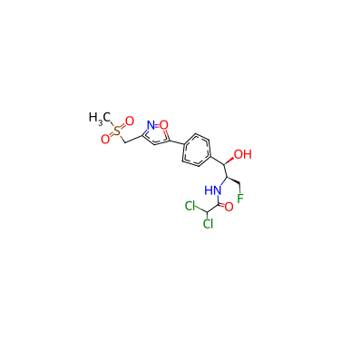 CS(=O)(=O)Cc1cc(-c2ccc([C@@H](O)[C@@H](CF)NC(=O)C(Cl)Cl)cc2)on1